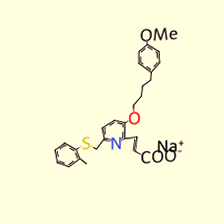 COc1ccc(CCCCOc2ccc(CSc3ccccc3C)nc2C=CC(=O)[O-])cc1.[Na+]